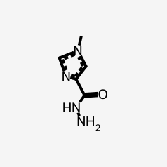 Cn1cnc(C(=O)NN)c1